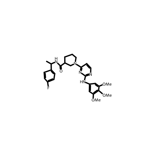 COc1cc(Nc2nccc(N3CCCC(C(=O)NC(C)c4ccc(F)cc4)C3)n2)cc(OC)c1OC